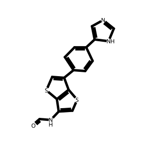 O=CNc1csc2c(-c3ccc(-c4cnc[nH]4)cc3)csc12